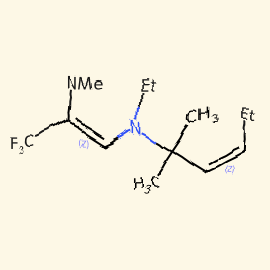 CC/C=C\C(C)(C)N(/C=C(\NC)C(F)(F)F)CC